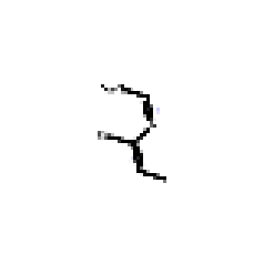 C/C=C(CC)\N=C/NC